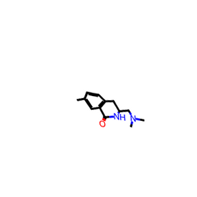 Cc1ccc2c(c1)C(=O)NC(CN(C)C)C2